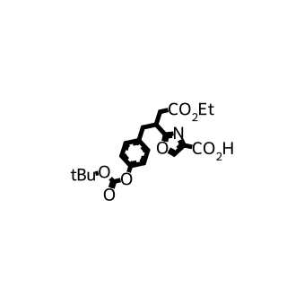 CCOC(=O)CC(Cc1ccc(OC(=O)OC(C)(C)C)cc1)c1nc(C(=O)O)co1